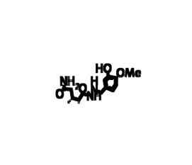 COc1ccc(CNNC(=O)[CH][C@H](C)CC(N)=O)cc1O